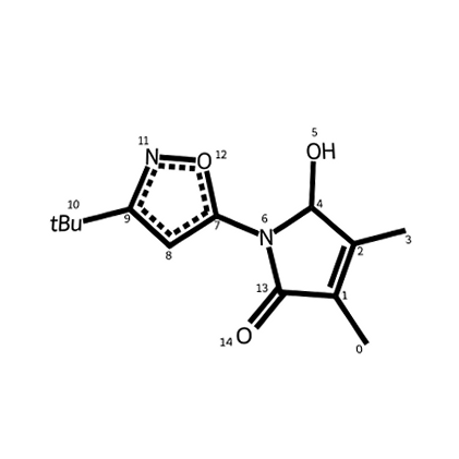 CC1=C(C)C(O)N(c2cc(C(C)(C)C)no2)C1=O